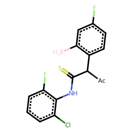 Bc1cc(F)ccc1C(C(C)=O)C(=S)Nc1c(F)cccc1Cl